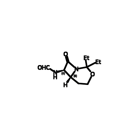 CCC1(CC)OCC[C@@H]2[C@@H](NC=O)C(=O)N21